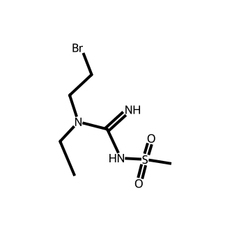 CCN(CCBr)C(=N)NS(C)(=O)=O